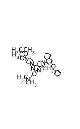 C[C@H]1c2nc(OCCN(C)C)nc(N3CCN(C(=O)OC(C)(C)C)CC3)c2CCN1c1cc(OCc2ccccc2)cc2ccccc12